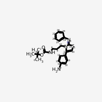 CC(C)(C)OC(=O)NCCCn1c(-c2ccc(N)cc2)cs/c1=N/c1ccccc1